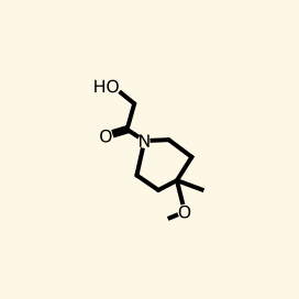 COC1(C)CCN(C(=O)CO)CC1